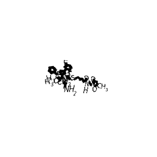 CC1CC(=O)N(CCNC(=O)CCCCCSCC(=O)N(CCCN)[C@@H](c2cc(-c3cc(F)ccc3F)cn2Cc2ccccc2)C(C)(C)C)C1=O